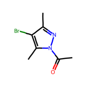 CC(=O)n1nc(C)c(Br)c1C